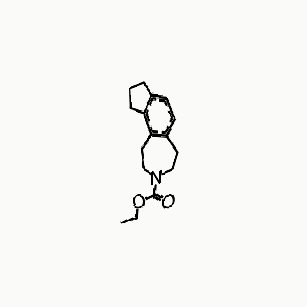 CCOC(=O)N1CCc2ccc3c(c2CC1)CCC3